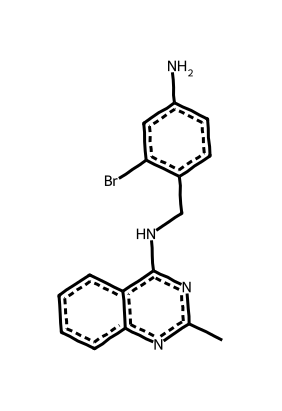 Cc1nc(NCc2ccc(N)cc2Br)c2ccccc2n1